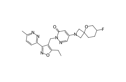 CCc1onc(-c2ccc(C)nn2)c1Cn1ncc(N2CC3(CCC(F)CO3)C2)cc1=O